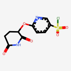 O=C1CCC(Oc2ccc(S(=O)(=O)Cl)cn2)C(=O)N1